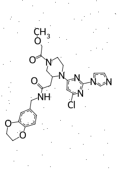 COCC(=O)N1CCN(c2cc(Cl)nc(-n3ccnc3)n2)C(CC(=O)NCc2ccc3c(c2)OCCO3)C1